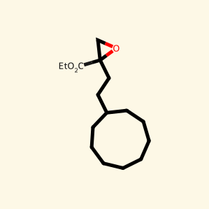 CCOC(=O)C1(CCC2CCCCCCCC2)CO1